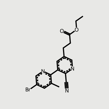 CCOC(=O)CCc1cnc(C#N)c(-c2ncc(Br)cc2C)c1